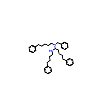 c1ccc(CCCCCN(Cc2ccccc2)C(CCCCc2ccccc2)NCCCCc2ccccc2)cc1